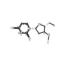 CC[C@H]1O[C@@H](n2ccc(=O)[nH]c2=O)CC1OI